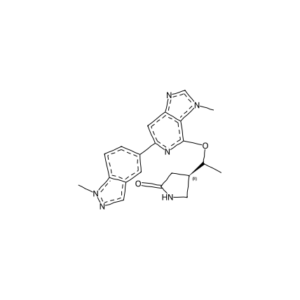 CC(Oc1nc(-c2ccc3c(cnn3C)c2)cc2ncn(C)c12)[C@H]1CNC(=O)C1